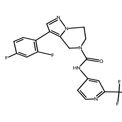 O=C(Nc1ccnc(C(F)(F)F)c1)N1CCn2ncc(-c3ccc(F)cc3F)c2C1